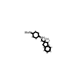 CNC1CCC(NCC2(C)Cc3ccccc3C2)CC1